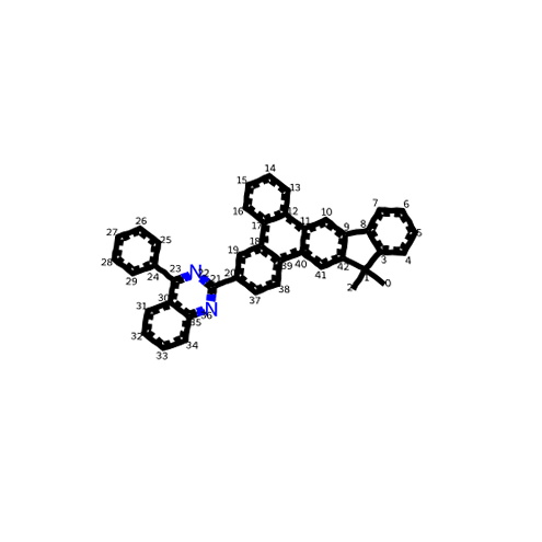 CC1(C)c2ccccc2-c2cc3c4ccccc4c4cc(-c5nc(-c6ccccc6)c6ccccc6n5)ccc4c3cc21